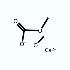 COC(=O)[O-].C[O-].[Ca+2]